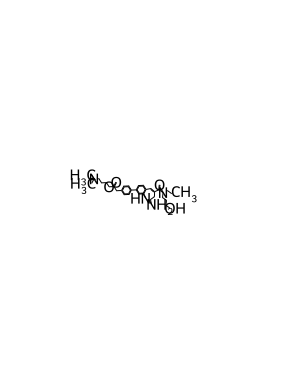 CCCN(CCCO)C(=O)C1=Cc2ccc(-c3ccc(CC(=O)OCCCN(C)C)cc3)cc2NC(N)C1